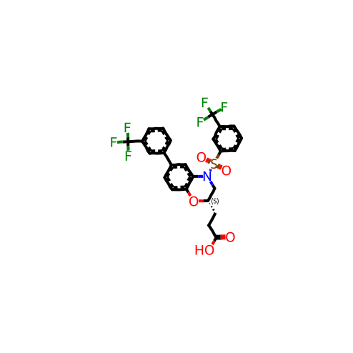 O=C(O)CC[C@H]1CN(S(=O)(=O)c2cccc(C(F)(F)F)c2)c2cc(-c3cccc(C(F)(F)F)c3)ccc2O1